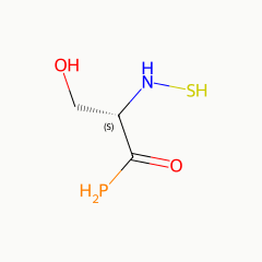 O=C(P)[C@H](CO)NS